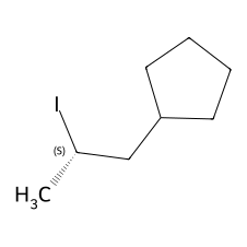 C[C@H](I)CC1CCCC1